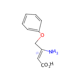 N/C(=C\C(=O)O)COc1ccccc1